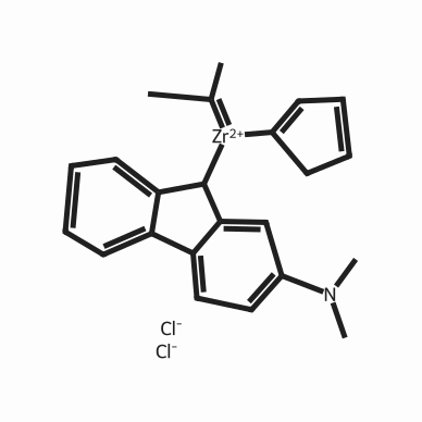 C[C](C)=[Zr+2]([C]1=CC=CC1)[CH]1c2ccccc2-c2ccc(N(C)C)cc21.[Cl-].[Cl-]